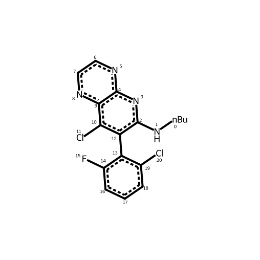 CCCCNc1nc2nccnc2c(Cl)c1-c1c(F)cccc1Cl